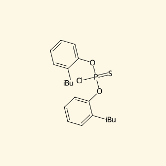 CCC(C)c1ccccc1OP(=S)(Cl)Oc1ccccc1C(C)CC